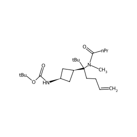 C=CCCC([C@H]1C[C@@H](NC(=O)OC(C)(C)C)C1)(N(C)C(=O)CCC)C(C)(C)C